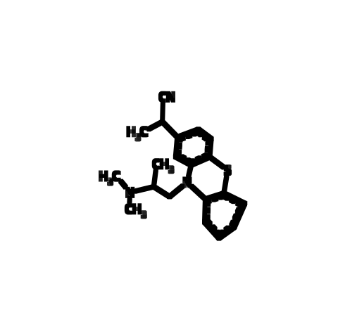 CC(C#N)c1ccc2c(c1)N(CC(C)N(C)C)c1ccccc1S2